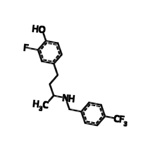 CC(CCc1ccc(O)c(F)c1)NCc1ccc(C(F)(F)F)cc1